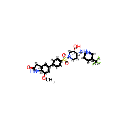 COc1cc(-c2ccc(S(=O)(=O)N3CC[C@@H](Nc4ccc(C(F)(F)F)cn4)[C@@H](O)C3)cc2)cc2c1NC(=O)C2